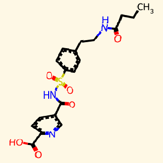 CCCC(=O)NCCc1ccc(S(=O)(=O)NC(=O)c2ccc(C(=O)O)nc2)cc1